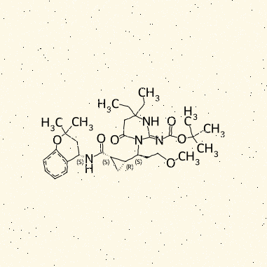 CCC1(CC)CC(=O)N([C@@H](CCOC)[C@@H]2C[C@@H]2C(=O)N[C@H]2CC(C)(C)Oc3ccccc32)C(=NC(=O)OC(C)(C)C)N1